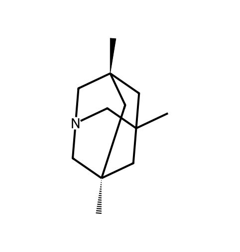 CC12CN3C[C@](C)(C1)C[C@](C)(C3)C2